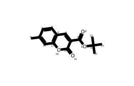 Cc1ccc2cc(C(=O)OC(C)(C)C)c(=O)oc2c1